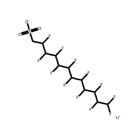 O=S(=O)([O-])CC(F)C(F)C(F)C(F)C(F)C(F)C(F)C(F)C(F)C(F)C(F)F.[Li+]